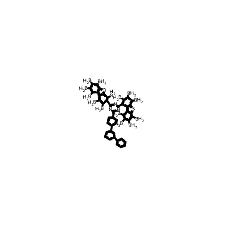 Bc1c(B)c(B)c2c(oc3c(B)c(-c4nc(-c5ccc(-c6cccc(-c7ccccc7)c6)cc5)nc(-c5c(B)c(B)c(B)c6sc7c(B)c(B)c(B)c(B)c7c56)n4)c(B)c(B)c32)c1B